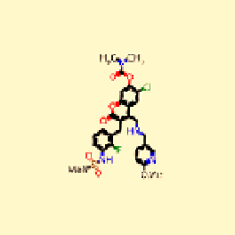 CNS(=O)(=O)Nc1cccc(Cc2c(CNCc3ccc(OC)nc3)c3cc(Cl)c(OC(=O)N(C)C)cc3oc2=O)c1F